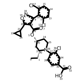 CC[C@@H]1C[C@H](OC(=O)c2c(-c3c(Cl)cccc3Cl)noc2C2CC2)CCN1c1ccc(C(=O)O)cc1Cl